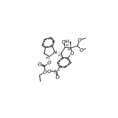 CCOC(=O)O[C@@H]1Cc2ccccc2N1[C@H]1c2cc([N+](=O)[O-])ccc2O[C@@](C)(C(OC)OC)[C@@H]1O